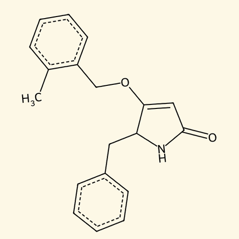 Cc1ccccc1COC1=CC(=O)NC1Cc1ccccc1